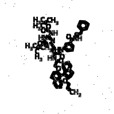 C=CCOc1ccc2ccccc2c1-c1c(OCC(=O)N[C@H](CCCN=C(NC(=O)OC(C)(C)C)NC(=O)OC(C)(C)C)C(=O)Nc2cccc(C(=O)NOCc3ccccc3)c2)ccc2ccccc12